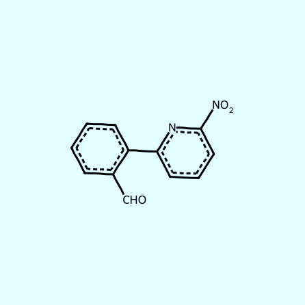 O=Cc1ccccc1-c1cccc([N+](=O)[O-])n1